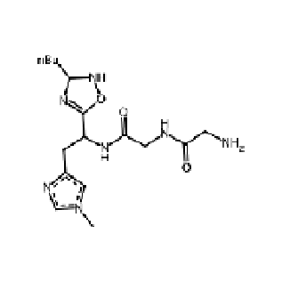 CCCCC1N=C(C(Cc2cn(C)cn2)NC(=O)CNC(=O)CN)ON1